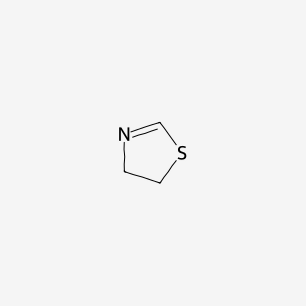 C1=NCCS1